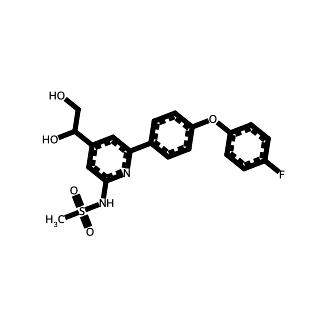 CS(=O)(=O)Nc1cc(C(O)CO)cc(-c2ccc(Oc3ccc(F)cc3)cc2)n1